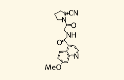 COc1ccc2c(C(=O)NCC(=O)N3CCC[C@H]3C#N)ccnc2c1